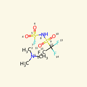 CN(C)C.O=S(=O)(F)NS(=O)(=O)C(F)(F)C(F)(F)F